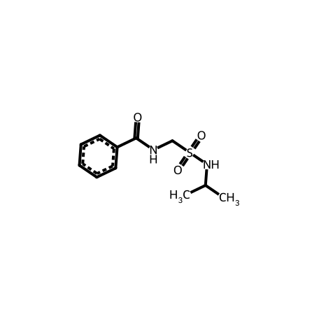 CC(C)NS(=O)(=O)CNC(=O)c1ccccc1